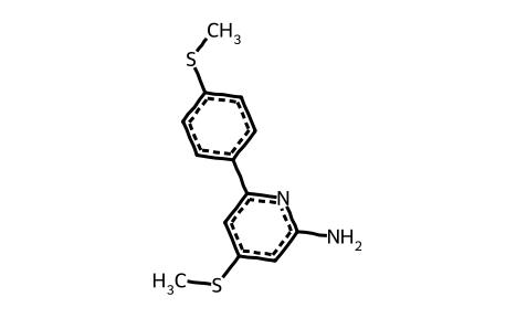 CSc1ccc(-c2cc(SC)cc(N)n2)cc1